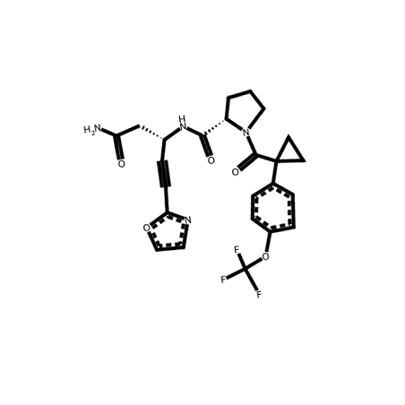 NC(=O)C[C@@H](C#Cc1ncco1)NC(=O)[C@@H]1CCCN1C(=O)C1(c2ccc(OC(F)(F)F)cc2)CC1